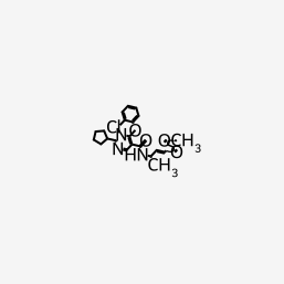 CC(/C=C/S(C)(=O)=O)NC(=O)c1cnc(C2CCCC2)nc1Oc1ccccc1Cl